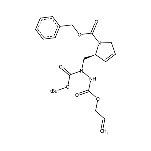 C=CCOC(=O)NN(C[C@@H]1C=CCN1C(=O)OCc1ccccc1)C(=O)OC(C)(C)C